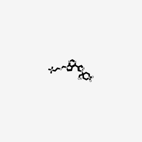 C[Si](C)(C)CCOCn1ccc2c(-c3cnn(C4(CC#N)CCS(=O)(=O)CC4)c3)ncnc21